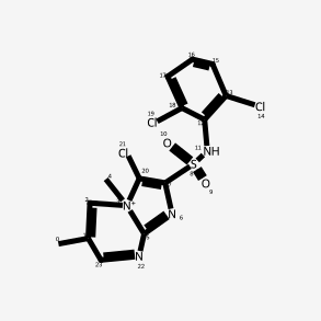 CC1=C[N+]2(C)C(=NC(S(=O)(=O)Nc3c(Cl)cccc3Cl)=C2Cl)N=C1